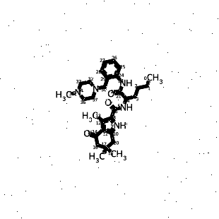 CCCCC(NC(=O)c1[nH]c2c(c1C)C(=O)CC(C)(C)C2)C(=O)Nc1ccccc1CN1CCN(C)CC1